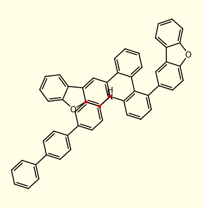 c1ccc(-c2ccc(-c3ccc(Nc4cccc(-c5ccc6oc7ccccc7c6c5)c4-c4ccccc4-c4ccc5oc6ccccc6c5c4)cc3)cc2)cc1